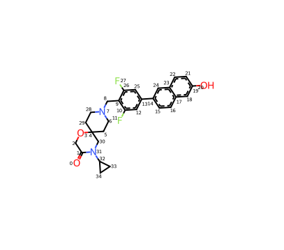 O=C1COC2(CCN(Cc3c(F)cc(-c4ccc5cc(O)ccc5c4)cc3F)CC2)CN1C1CC1